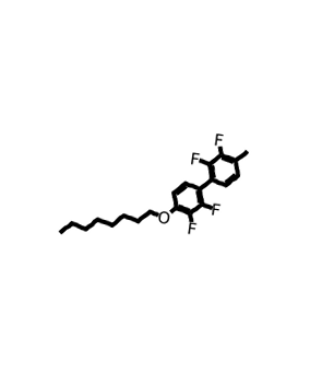 CCCCCCCCOc1ccc(-c2ccc(C)c(F)c2F)c(F)c1F